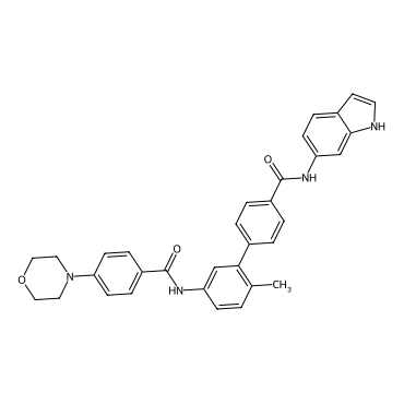 Cc1ccc(NC(=O)c2ccc(N3CCOCC3)cc2)cc1-c1ccc(C(=O)Nc2ccc3cc[nH]c3c2)cc1